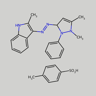 CC1=CC(N=Nc2c(C)[nH]c3ccccc23)N(c2ccccc2)N1C.Cc1ccc(S(=O)(=O)O)cc1